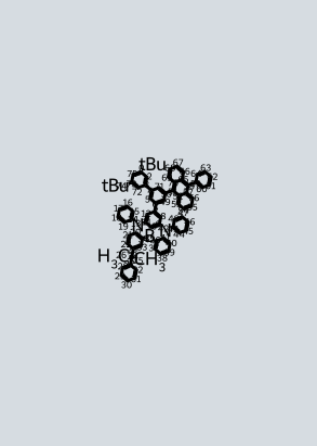 CC(C)(C)c1cc(-c2cc(-c3cc4c5c(c3)N(c3ccccc3)c3ccc(C(C)(C)c6ccccc6)cc3B5c3ccccc3N4c3ccccc3)cc(-c3c4ccccc4c(-c4ccccc4)c4ccccc34)c2)cc(C(C)(C)C)c1